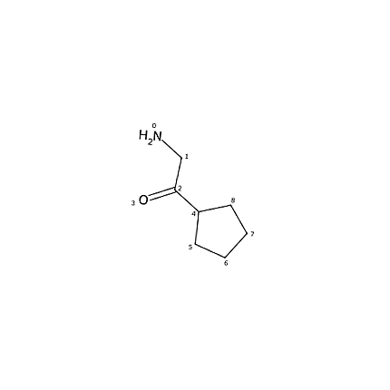 NCC(=O)C1CCCC1